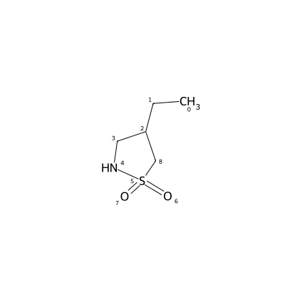 CCC1CNS(=O)(=O)C1